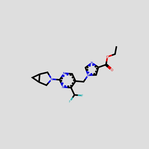 CCOC(=O)c1cn(Cc2cnc(N3CC4CC4C3)nc2C(F)F)cn1